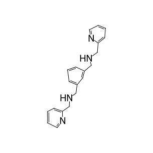 c1ccc(CNCc2cccc(CNCc3ccccn3)c2)nc1